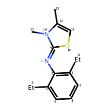 CCc1cccc(CC)c1N=c1scc(C)n1C